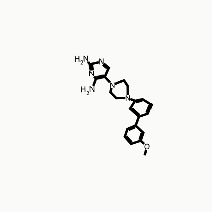 COc1cccc(-c2cccc(N3CCN(c4cnc(N)nc4N)CC3)c2)c1